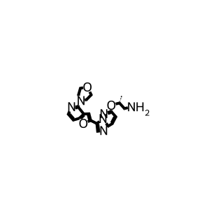 C[C@H](CN)Oc1ccc2ncc(-c3cc4c(N5CCOCC5)nccc4o3)n2n1